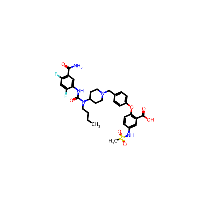 CCCCN(C(=O)Nc1cc(C(N)=O)c(F)cc1F)C1CCN(Cc2ccc(Oc3ccc(NS(C)(=O)=O)cc3C(=O)O)cc2)CC1